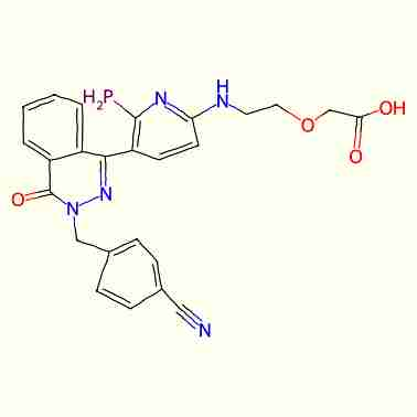 N#Cc1ccc(Cn2nc(-c3ccc(NCCOCC(=O)O)nc3P)c3ccccc3c2=O)cc1